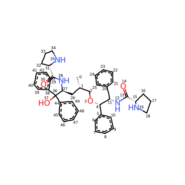 C[C@H](CO[C@@H](c1ccccc1)[C@@H](NC(=O)[C@@H]1CCCN1)c1ccccc1)C[C@H](NC(=O)[C@@H]1CCCN1)C(O)(c1ccccc1)c1ccccc1